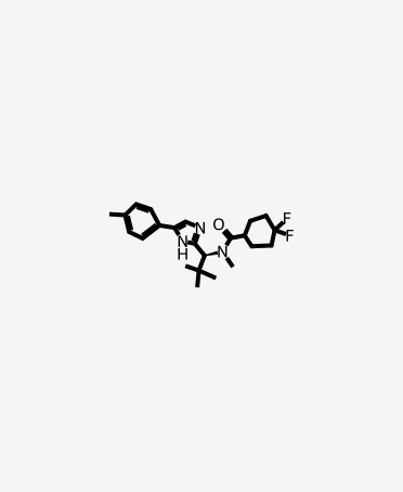 Cc1ccc(-c2cnc([C@@H](N(C)C(=O)C3CCC(F)(F)CC3)C(C)(C)C)[nH]2)cc1